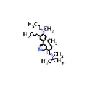 C=C/C=C\C(=C/N(C)C(C)C)c1cncc(-c2ccc(N(C)CCC)c(CC=C)c2)c1